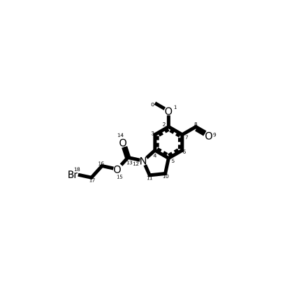 COc1cc2c(cc1C=O)CCN2C(=O)OCCBr